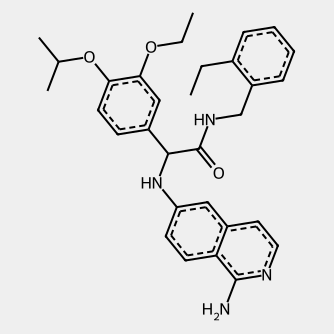 CCOc1cc(C(Nc2ccc3c(N)nccc3c2)C(=O)NCc2ccccc2CC)ccc1OC(C)C